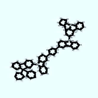 c1ccc(C2(c3ccccc3)c3ccccc3-c3ccc(-n4c5ccccc5c5cc(-c6ccc(-c7ccc8c(c7)c7ccccc7n8-c7cc8c9ccccc9n9c%10ccccc%10c(c7)c89)cc6)ccc54)cc32)cc1